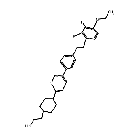 CCCC1CCC(C2CC=C(c3ccc(CCc4ccc(OCC)c(F)c4F)cc3)CO2)CC1